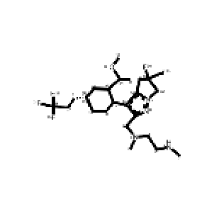 CNCCN(C)Cc1nn2c(c1C1CC[C@H](CCC(F)(F)F)CC1C(C)OC)CC(F)(F)C2